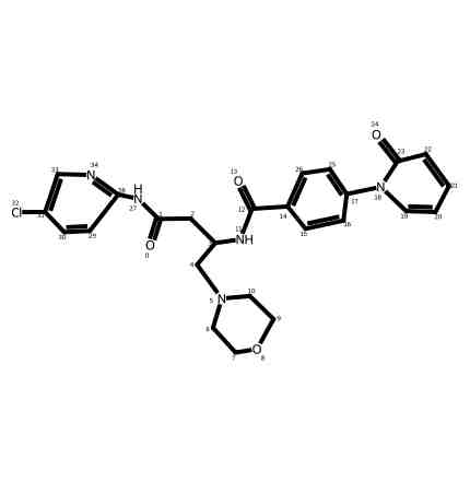 O=C(CC(CN1CCOCC1)NC(=O)c1ccc(-n2ccccc2=O)cc1)Nc1ccc(Cl)cn1